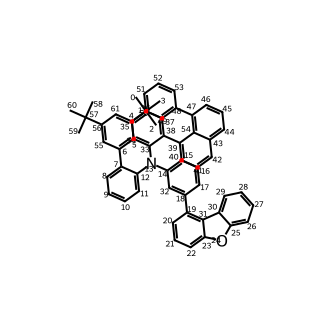 CC(C)(C)c1cc(-c2ccccc2N(c2cccc(-c3cccc4oc5ccccc5c34)c2)c2ccccc2-c2cccc3cccc(-c4ccccc4)c23)cc(C(C)(C)C)c1